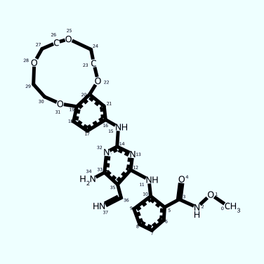 CONC(=O)c1ccccc1Nc1nc(Nc2ccc3c(c2)OCCOCCOCCO3)nc(N)c1C=N